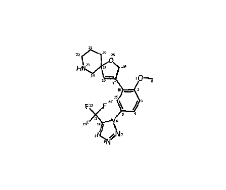 COc1ccc(-n2nnnc2C(F)(F)F)cc1C1=CC2(CCCNC2)OC1